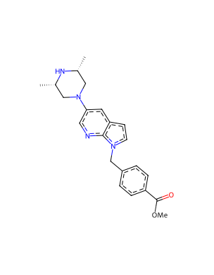 COC(=O)c1ccc(Cn2ccc3cc(N4C[C@@H](C)N[C@@H](C)C4)cnc32)cc1